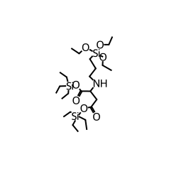 CCO[Si](CCCNC(CC(=O)O[Si](CC)(CC)CC)C(=O)O[Si](CC)(CC)CC)(OCC)OCC